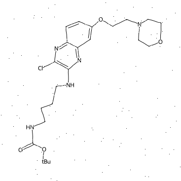 CC(C)(C)OC(=O)NCCCCNc1nc2cc(OCCN3CCOCC3)ccc2nc1Cl